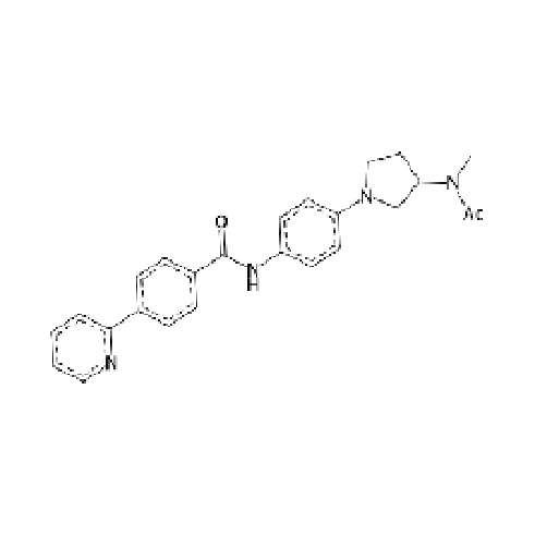 CC(=O)N(C)C1CCN(c2ccc(NC(=O)c3ccc(-c4ccccn4)cc3)cc2)C1